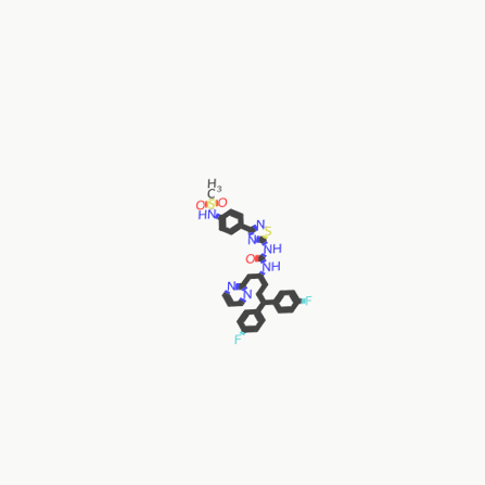 CS(=O)(=O)Nc1ccc(-c2nsc(NC(=O)NC(CCC(c3ccc(F)cc3)c3ccc(F)cc3)Cc3ncccn3)n2)cc1